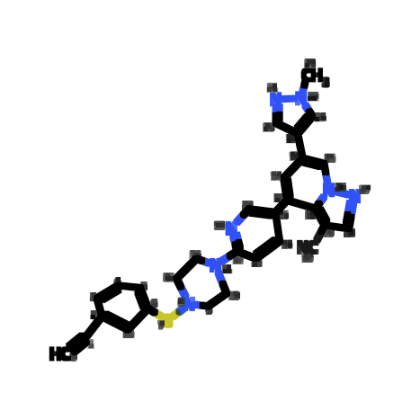 C#Cc1cccc(SN2CCN(c3ccc(-c4cc(-c5cnn(C)c5)cn5ncc(C#N)c45)cn3)CC2)c1